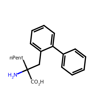 CCCCCC(N)(Cc1ccccc1-c1ccccc1)C(=O)O